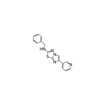 c1ccc(CNc2nn3cc(-c4cccnc4)nc3s2)cc1